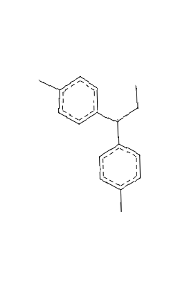 CC[C](c1ccc(C)cc1)c1ccc(C)cc1